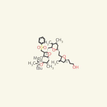 C=C1C[C@H](CCCO)OC1CC[C@H]1C[C@@H](C)C(=C)C(C[C@@H]2O[C@H](C[C@H](C)CO[Si](C)(C)C(C)(C)C)[C@H](OC)C2CS(=O)(=O)c2ccccc2)O1